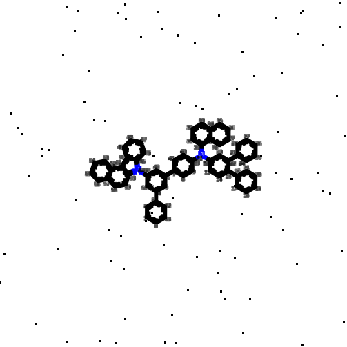 c1ccc(-c2cc(-c3ccc(N(c4ccc(-c5ccccc5)c(-c5ccccc5)c4)c4cccc5ccccc45)cc3)cc(-n3c4ccccc4c4c5ccccc5ccc43)c2)cc1